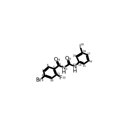 O=C(NC(=O)c1ccc(Br)cc1F)Nc1cccc(I)c1